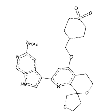 CC(=O)Nc1cc2c(-c3cc(OCC4CCS(=O)(=O)CC4)c4c(n3)C3(CCOC3)OCC4)c[nH]c2cn1